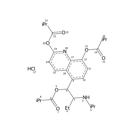 CCC(NC(C)C)C(OC(=O)C(C)C)c1ccc(OC(=O)C(C)C)c2nc(OC(=O)C(C)C)ccc12.Cl